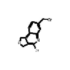 BrCc1ccc2c3c(c(Br)nc2c1)COC3